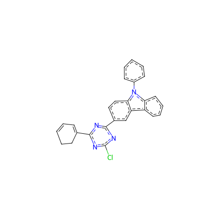 Clc1nc(C2=CC=CCC2)nc(-c2ccc3c(c2)c2ccccc2n3-c2ccccc2)n1